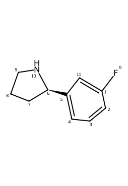 Fc1cccc([C@H]2CCCN2)c1